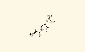 C=CC(=O)N1CC[C@@H](OC(CC)CCC)C1